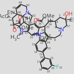 CC[C@]1(O)C[C@H]2CN(CCc3c([nH]c4ccc(-c5cccc(F)c5)cc34)[C@@](C(=O)OC)(c3cc4c(cc3OC)N(C)[C@@]35O[C@]3(C(=O)OC)[C@H](OC(C)=O)[C@]3(CC)C=CCN6CC[C@]45[C@@H]63)C2)C1